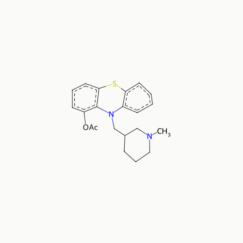 CC(=O)Oc1cccc2c1N(CC1CCCN(C)C1)c1ccccc1S2